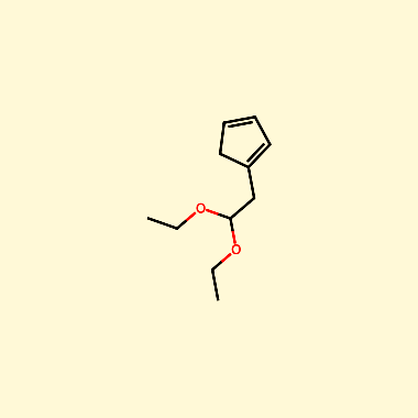 CCOC(CC1=CC=CC1)OCC